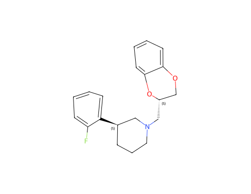 Fc1ccccc1[C@@H]1CCCN(C[C@H]2COc3ccccc3O2)C1